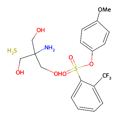 COc1ccc(OS(=O)(=O)c2ccccc2C(F)(F)F)cc1.NC(CO)(CO)CO.S